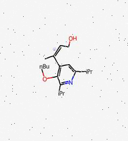 CCCCOc1c(/C(C)=C\CO)cc(C(C)C)nc1C(C)C